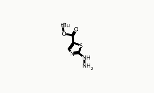 CC(C)(C)OC(=O)c1cnc(NN)s1